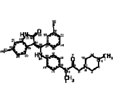 CN1CCN(CC(=O)N(C)c2ccc(NC(=C3C(=O)Nc4cc(F)ccc43)c3cccc(F)c3)cc2)CC1